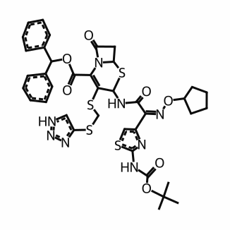 CC(C)(C)OC(=O)Nc1nc(/C(=N/OC2CCCC2)C(=O)NC2SC3CC(=O)N3C(C(=O)OC(c3ccccc3)c3ccccc3)=C2SCSc2c[nH]nn2)cs1